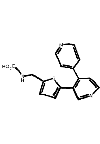 O=C(O)NCc1ccc(-c2cnccc2-c2ccncc2)o1